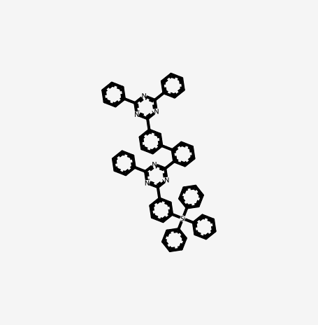 c1ccc(-c2nc(-c3ccccc3)nc(-c3cccc(-c4ccccc4-c4nc(-c5ccccc5)nc(-c5cccc([Si](c6ccccc6)(c6ccccc6)c6ccccc6)c5)n4)c3)n2)cc1